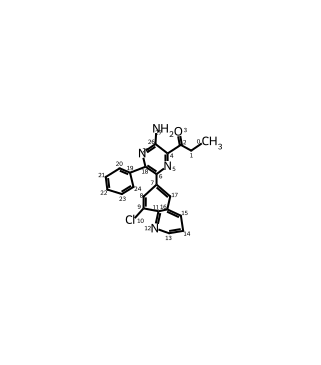 CCC(=O)c1nc(-c2cc(Cl)c3ncccc3c2)c(-c2ccccc2)nc1N